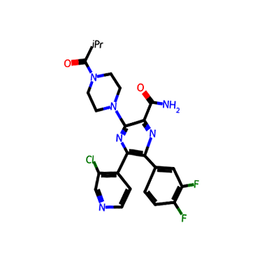 CC(C)C(=O)N1CCN(c2nc(-c3ccncc3Cl)c(-c3ccc(F)c(F)c3)nc2C(N)=O)CC1